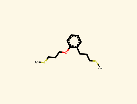 CC(=O)SCCCOc1ccccc1CCCSC(C)=O